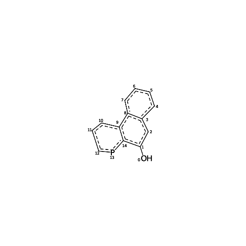 Oc1cc2ccccc2c2cccpc12